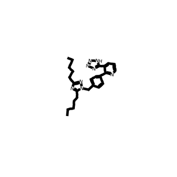 CCCCCc1nc(CCCCC)n(Cc2ccc(-c3ncccc3-c3nnn[nH]3)cc2)n1